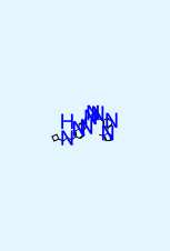 Cc1cccn1-c1cncc(-c2cn(Cc3cn4cc(CNCC5CCC5)ccc4n3)nn2)c1